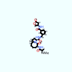 CNC(C)C(=O)N[C@H]1CCCC[C@H]2CC[C@@H](C(=O)NCc3cccc(C(=O)NC4COC(=O)C4)c3)N2C1=O